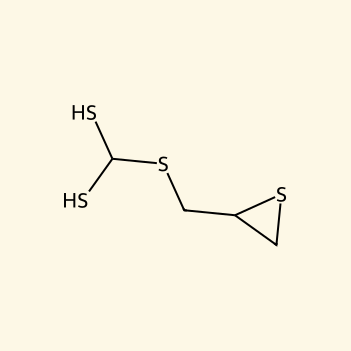 SC(S)SCC1CS1